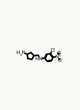 NC1CCC(CNc2ccc([N+](=O)[O-])c(Cl)c2)C1